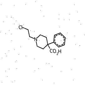 O=C(O)C1(c2ccccc2)CCN(CCCl)CC1